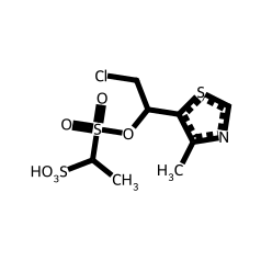 Cc1ncsc1C(CCl)OS(=O)(=O)C(C)S(=O)(=O)O